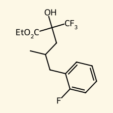 CCOC(=O)C(O)(CC(C)Cc1ccccc1F)C(F)(F)F